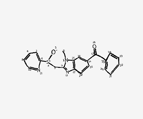 Cn1c(C[S+]([O-])c2ccccn2)nc2ccc(C(=O)c3ccccc3)cc21